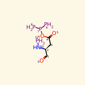 O=C[C@H](CC(=O)OP(P)P)NP